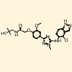 COc1cc(-c2nc(Nc3ccc4[nH]ncc4c3Cl)n(C)n2)ccc1OCC(=O)NCC(C)(C)O